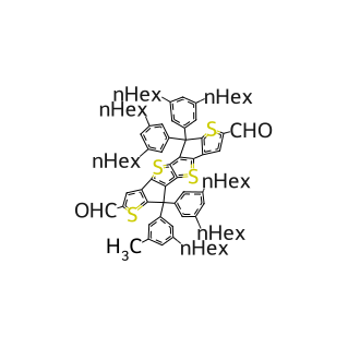 CCCCCCc1cc(C)cc(C2(c3cc(CCCCCC)cc(CCCCCC)c3)c3sc(C=O)cc3-c3sc4c5c(sc4c32)-c2cc(C=O)sc2C5(c2cc(CCCCCC)cc(CCCCCC)c2)c2cc(CCCCCC)cc(CCCCCC)c2)c1